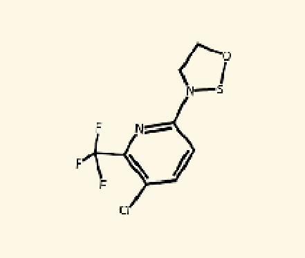 FC(F)(F)c1nc(N2CCOS2)ccc1Cl